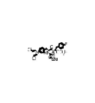 CC(C)(C)OC(=O)N[C@@H](Cc1ccc(N(CCCl)CCCl)cc1)C(=O)N[C@@H](Cc1ccc(F)cc1)C(=O)O